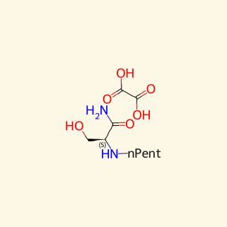 CCCCCN[C@@H](CO)C(N)=O.O=C(O)C(=O)O